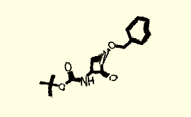 CC(C)(C)OC(=O)NC1CN(OCc2ccccc2)C1=O